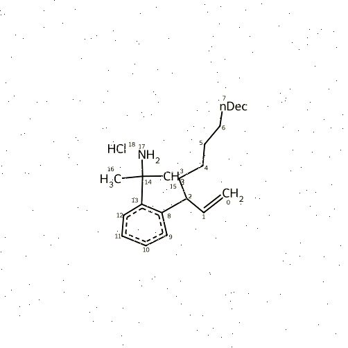 C=CC(CCCCCCCCCCCCCC)c1ccccc1C(C)(C)N.Cl